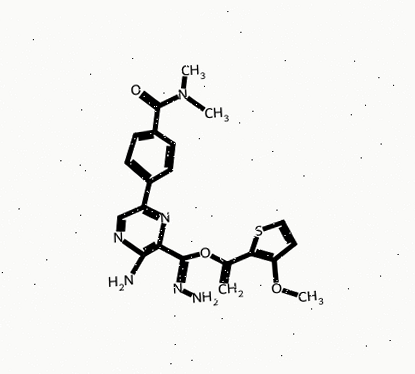 C=C(O/C(=N\N)c1nc(-c2ccc(C(=O)N(C)C)cc2)cnc1N)c1sccc1OC